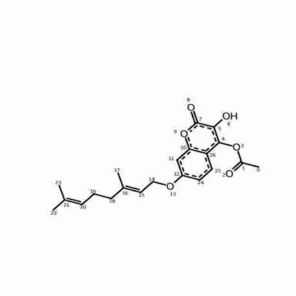 CC(=O)Oc1c(O)c(=O)oc2cc(OC/C=C(\C)CCC=C(C)C)ccc12